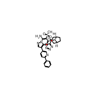 CS(=O)(=O)c1c([C@H]2C[C@H]3CC[C@@H](C2)N3C(=O)c2nnn[nH]2)nc2c(-c3ccc(-c4ccccc4)nc3)cnn2c1N